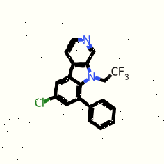 FC(F)(F)Cn1c2cnccc2c2cc(Cl)cc(-c3ccccc3)c21